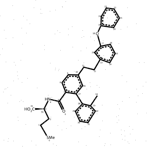 CSCC[C@H](NC(=O)c1ccc(CCc2cccc(Oc3ccccc3)c2)cc1-c1ccccc1C)C(=O)O